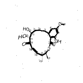 COc1cc(O)c2c(c1)CCC[C@H](O)[C@@H](O)C(=O)/C=C\[C@@H](C)[C@H](C)OC2=O